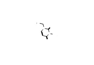 C=C1C=CN(CC(C)C)C(=O)N1C